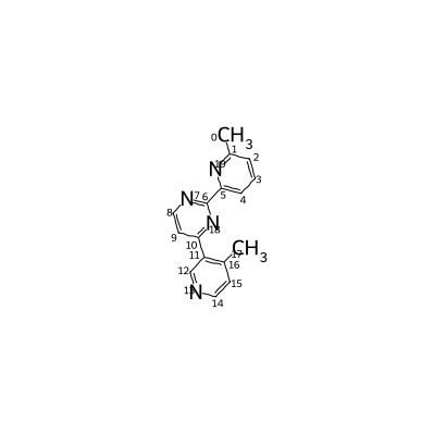 Cc1cccc(-c2nccc(-c3cnccc3C)n2)n1